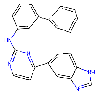 c1ccc(-c2cccc(Nc3nccc(-c4ccc5[nH]cnc5c4)n3)c2)cc1